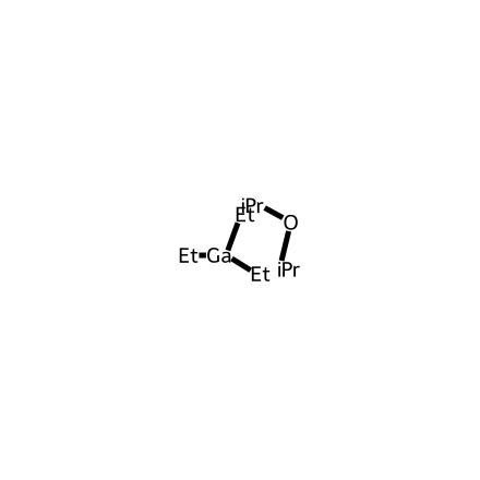 CC(C)OC(C)C.C[CH2][Ga]([CH2]C)[CH2]C